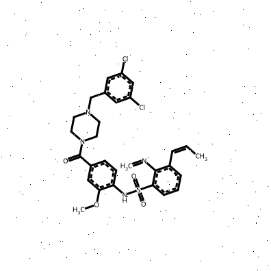 C=Nc1c(/C=C\C)cccc1S(=O)(=O)Nc1ccc(C(=O)N2CCN(Cc3cc(Cl)cc(Cl)c3)CC2)cc1OC